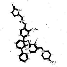 COc1nc(C2(Nc3nccc(CN4CCC(C(=O)O)CC4)c3F)C=CC=C(c3ccccc3)C2(Cl)Cl)ccc1CNCC1CCC(=O)N1